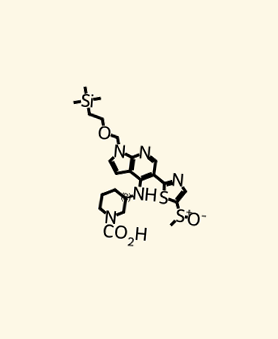 C[S+]([O-])c1cnc(-c2cnc3c(ccn3COCC[Si](C)(C)C)c2N[C@@H]2CCCN(C(=O)O)C2)s1